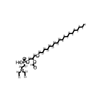 CCCCCCCCCCCCCCCCCCCOCC(COP(=O)(O)CCN(CC)CC)OC=O